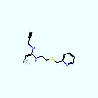 C#CCN/C(=C/[N+](=O)[O-])NCCSCc1ccccn1